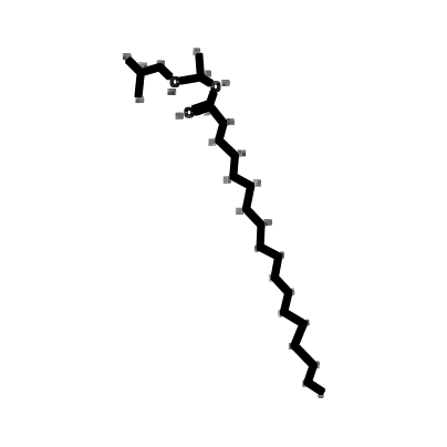 CCCCCCCCCCCCCCCCCC(=O)OC(C)OCC(C)C